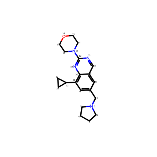 c1c(CN2CCCC2)cc2cnc(N3CCOCC3)nc2c1C1CC1